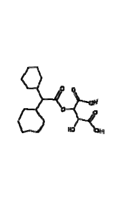 O=C(O)C(O)C(OC(=O)C(C1CCCCC1)C1CCCCC1)C(=O)O